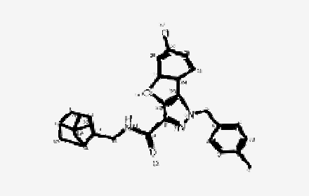 Cc1ccc(Cn2nc(C(=O)NCC3CCC4CC3C4(C)C)c3c2C2C=CC(Cl)=CC2O3)cc1